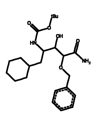 CC(C)(C)OC(=O)NC(CC1CCCCC1)C(O)C(OCc1ccccc1)C(N)=O